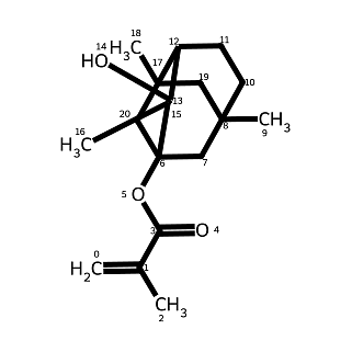 C=C(C)C(=O)OC12CC3(C)CCC(C(O)C1C)C(C)(C3)C2